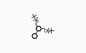 CC(C)(C)[Si](C)(C)OCc1cc(CO[Si](C)(C)C(C)(C)C)cc(-c2ccccc2)c1